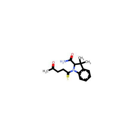 CC(=O)CCC(=S)N1c2ccccc2C(C)(C)C1C(N)=O